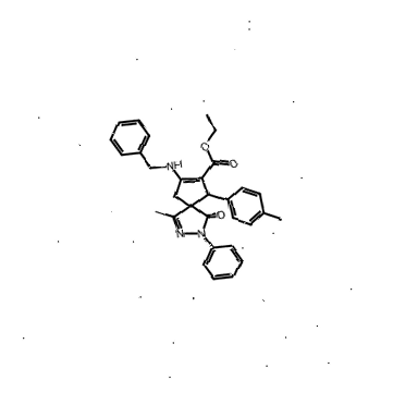 CCOC(=O)C1=C(NCc2ccccc2)CC2(C(=O)N(c3ccccc3)N=C2C)C1c1ccc(C)cc1